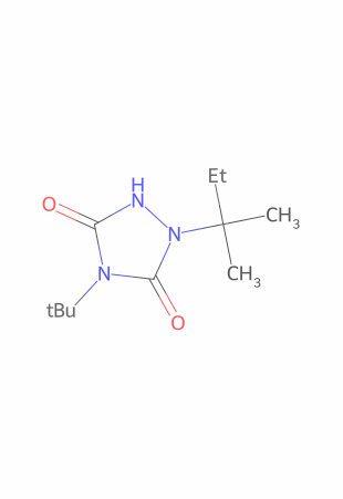 CCC(C)(C)n1[nH]c(=O)n(C(C)(C)C)c1=O